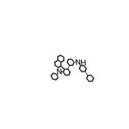 c1ccc(-c2ccc(Nc3cccc(-c4cccc5c4c4c6ccccc6ccc4n5-c4ccccc4)c3)cc2)cc1